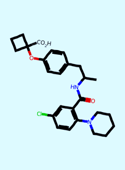 CC(Cc1ccc(OC2(C(=O)O)CCC2)cc1)NC(=O)c1cc(Cl)ccc1N1CCCCC1